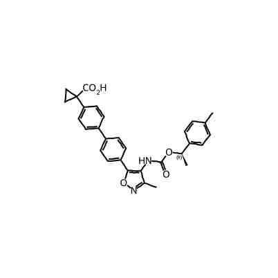 Cc1ccc([C@@H](C)OC(=O)Nc2c(C)noc2-c2ccc(-c3ccc(C4(C(=O)O)CC4)cc3)cc2)cc1